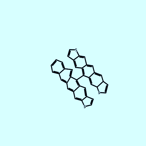 C1=CC2C=c3cc4cc5sccc5cc4c(-c4c5cc6ccccc6cc5cc5cc6sccc6cc45)c3=CC2S1